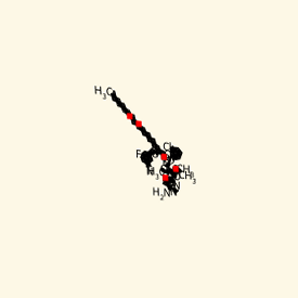 CCCCCCCCCCCCCCCCCCCCC(COP(=O)(OC[C@@](C#N)(OC)[C@H]1OC(C)(C)O[C@H]1c1ccc2c(N)ncnn12)Oc1ccccc1Cl)OCc1cc(F)cc(C#N)c1